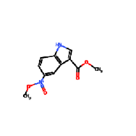 COC(=O)c1c[nH]c2ccc([N+](=O)OC)cc12